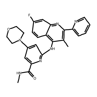 CNC(=O)c1cc(N2CCOCC2)cc(Nc2c(C)c(-c3ccccn3)nc3cc(F)ccc23)n1